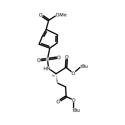 COC(=O)c1ccc(S(=O)(=O)N[C@@H](CCC(=O)OC(C)(C)C)C(=O)OC(C)(C)C)cc1